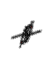 CCCCCCCCCCCCC(CCCCCCCCCC)CN1C(=O)C2=C(C3CC=C(C4=CCC(c5ccccc5)S4)S3)N(CC(CCCCCCCCCC)CCCCCCCCCCCC)C(=O)C2=C1c1ccc(-c2ccc(-c3ccccc3)s2)s1